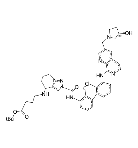 CC(C)(C)OC(=O)CCCNC1CCCn2nc(C(=O)Nc3cccc(-c4cccc(Nc5nccc6cc(CN7CC[C@@H](O)C7)cnc56)c4Cl)c3Cl)cc21